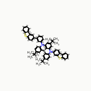 CC(C)(C)c1ccc2c(c1)B1c3cc(C(C)(C)C)ccc3N(c3ccc4c(c3)sc3ccccc34)c3cc(C(C)(C)C)cc(c31)N2c1cccc(-c2ccc3sc4ccccc4c3c2)c1